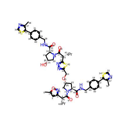 Cc1cc([C@H](C(=O)N2C[C@H](OCc3nnc([C@H](C(=O)N4C[C@H](O)C[C@H]4C(=O)NCc4ccc(-c5scnc5C)cc4)C(C)C)s3)C[C@H]2C(=O)NCc2ccc(-c3scnc3C)cc2)C(C)C)no1